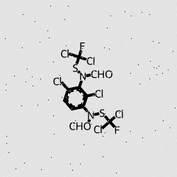 O=CN(SC(F)(Cl)Cl)c1ccc(Cl)c(N(C=O)SC(F)(Cl)Cl)c1Cl